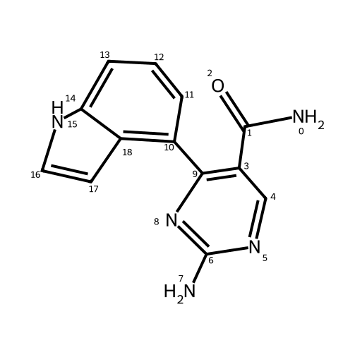 NC(=O)c1cnc(N)nc1-c1cccc2[nH]ccc12